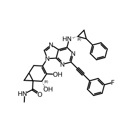 CNC(=O)C12CC1CC(n1cnc3c(N[C@@H]4CC4c4ccccc4)nc(C#Cc4cccc(F)c4)nc31)=C(O)[C@@H]2O